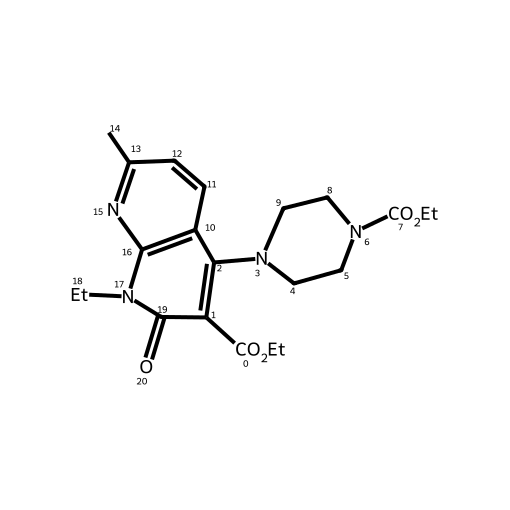 CCOC(=O)c1c(N2CCN(C(=O)OCC)CC2)c2ccc(C)nc2n(CC)c1=O